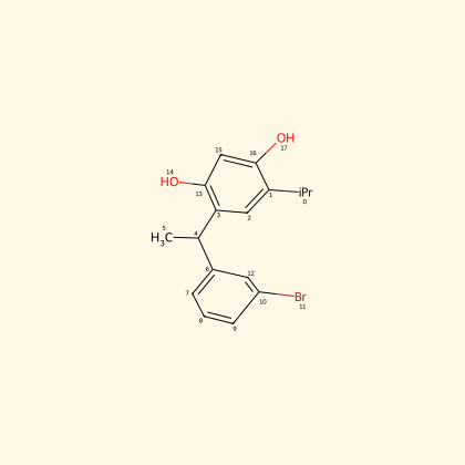 CC(C)c1cc(C(C)c2cccc(Br)c2)c(O)cc1O